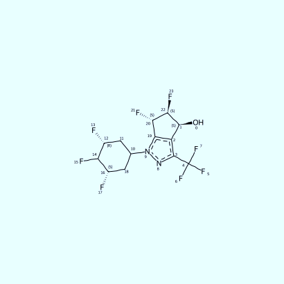 O[C@H]1c2c(C(F)(F)F)nn(C3C[C@@H](F)C(F)[C@@H](F)C3)c2[C@H](F)[C@H]1F